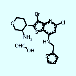 N[C@H]1COCC[C@H]1c1sc2c(NCc3cccs3)cc(Cl)nc2c1Br.O=CO